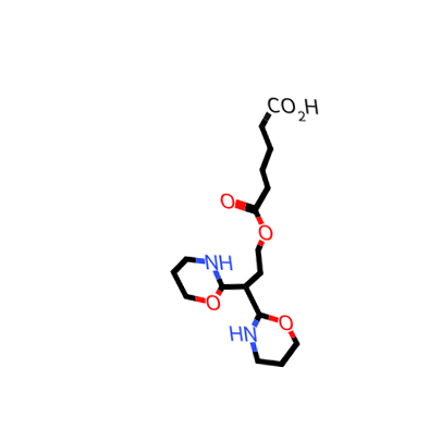 O=C(O)CCCCC(=O)OCCC(C1NCCCO1)C1NCCCO1